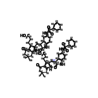 CC1(C)CC(=O)c2c([nH]c(/C=C3\C(=O)Nc4ccc(NS(=O)(=O)c5ccccc5)cc43)c2CCC(=O)O)C1.CC1(C)CC(=O)c2c([nH]c(C=C3C(=O)Nc4ccc(NS(=O)(=O)c5ccccc5)cc43)c2CCC(=O)O)C1